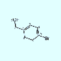 OCC1=CC=C(Br)CC1